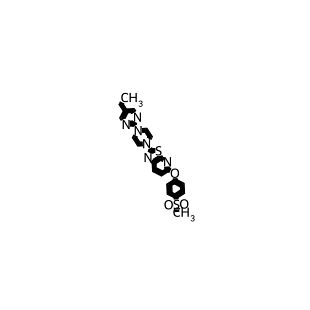 CCc1cnc(N2CCN(c3nc4ccc(Oc5ccc(S(C)(=O)=O)cc5)nc4s3)CC2)nc1